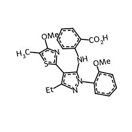 CCc1nn(-c2ccccc2OC)c(Nc2ccccc2C(=O)O)c1-c1nc(OC)c(C)s1